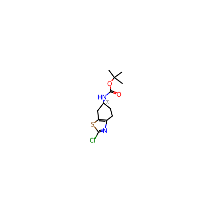 CC(C)(C)OC(=O)N[C@H]1CCc2nc(Cl)sc2C1